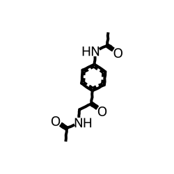 CC(=O)NCC(=O)c1ccc(NC(C)=O)cc1